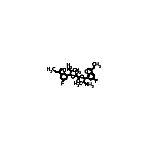 CCc1coc2c(C(OC(=O)C(=O)OC(c3cc(F)cc4c(CC)coc34)C(C)N)C(C)N)cc(F)cc12